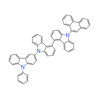 c1ccc(-n2c3ccccc3c3cc(-n4c5ccccc5c5c(-c6cccc7c6c6ccccc6n7-c6cc7ccccc7c7ccccc67)cccc54)ccc32)cc1